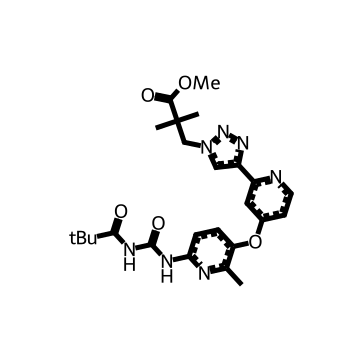 COC(=O)C(C)(C)Cn1cc(-c2cc(Oc3ccc(NC(=O)NC(=O)C(C)(C)C)nc3C)ccn2)nn1